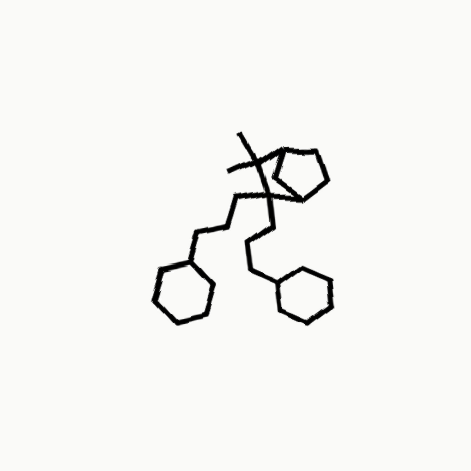 CC1(C)C2CCC(C2)C1(CCCC1CCCCC1)CCCC1CCCCC1